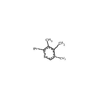 Cc1cbc(C(C)C)c(C)c1C